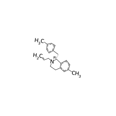 C=CCN1CCc2cc(C)ccc2[C@H]1Cc1ccc(C)cc1